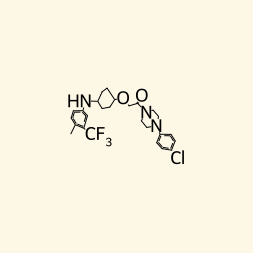 Cc1ccc(NC2CCC(OCC(=O)N3CCN(c4ccc(Cl)cc4)CC3)CC2)cc1C(F)(F)F